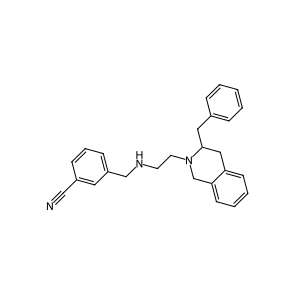 N#Cc1cccc(CNCCN2Cc3ccccc3CC2Cc2ccccc2)c1